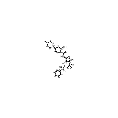 CN1CCN(c2ccc(C(=O)Nc3n[nH]c4c3CN(S(=O)(=O)c3ccccc3)CC4(C)C)c(N)c2)CC1